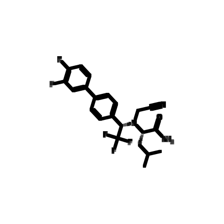 CC(C)C[C@@H](C(N)=O)N(CC#N)[C@@H](c1ccc(-c2ccc(F)c(F)c2)cc1)C(F)(F)F